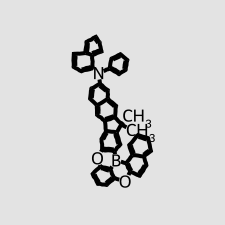 CC1(C)c2cc3c(cc2-c2cc4ccc(N(c5ccccc5)c5cccc6ccccc56)cc4cc21)Oc1cccc2c1B3c1c(ccc3ccccc13)O2